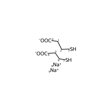 O=C([O-])CCS.O=C([O-])CCS.[Na+].[Na+]